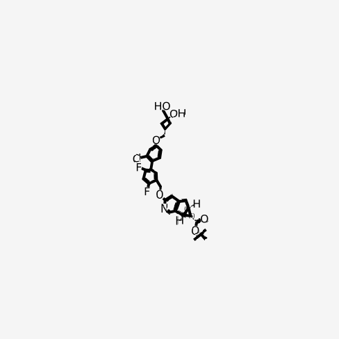 CC(C)(C)OC(=O)[C@H]1[C@@H]2Cc3cc(OCc4cc(-c5ccc(OC[C@H]6C[C@](O)(CO)C6)cc5Cl)c(F)cc4F)ncc3[C@@H]21